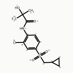 CC(O)(C(=O)Nc1ccc(S(=O)(=O)CC2CC2)cc1Cl)C(F)(F)F